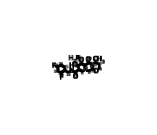 C[C@@H]1CCOC2Cn3cc(C(=O)NCc4ccc(F)cc4F)c(=O)c(OP)c3C(=O)N21